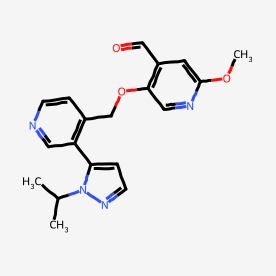 COc1cc(C=O)c(OCc2ccncc2-c2ccnn2C(C)C)cn1